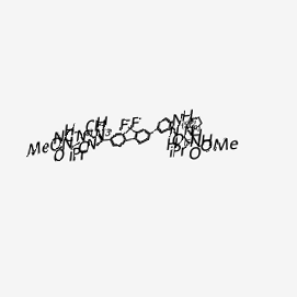 COC(=O)NC(C(=O)N(CC#N)[C@@H](C)c1ncc(-c2ccc3c(c2)C(F)(F)c2cc(-c4ccc5nc([C@@H]6[C@H]7CC[C@H](C7)N6C(=O)[C@@H](NC(=O)OC)C(C)C)[nH]c5c4)ccc2-3)[nH]1)C(C)C